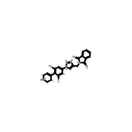 O=C1c2ccccc2C(=O)N1Cc1cn(-c2cc(F)c(C3=CCNCC3)c(F)c2)nn1